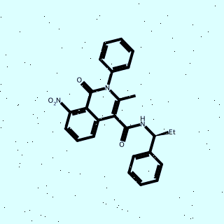 CC[C@H](NC(=O)c1c(C)n(-c2ccccc2)c(=O)c2c([N+](=O)[O-])cccc12)c1ccccc1